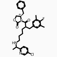 Cc1cc(CC(CCCCNC(C)c2ccc(Cl)cn2)C(=O)N2C(=O)OC[C@H]2Cc2ccccc2)cc(C)c1F